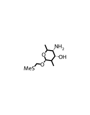 CSCO[C@H]1OC(C)[C@H](N)[C@H](O)C1C